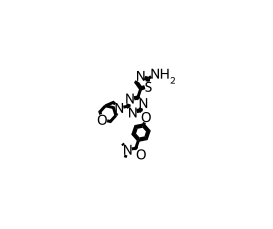 CN(C)C(=O)c1ccc(Oc2nc(-c3cnc(N)s3)nc(N3CC4COCC3C4)n2)cc1